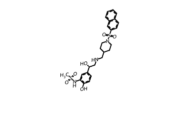 CS(=O)(=O)Nc1cc([C@@H](O)CNCC2CCN(S(=O)(=O)c3ccc4ccccc4c3)CC2)ccc1O